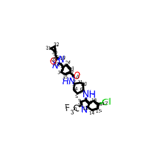 O=C(N[C@H]1CC[C@@H](Nc2cc(C(F)(F)F)nc3ccc(Cl)cc23)CC1)c1ccc(-c2noc(C3CC3)n2)cc1